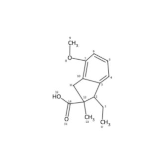 CCC1c2cccc(OC)c2CC1(C)C(=O)O